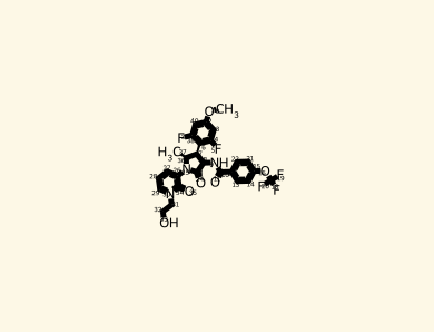 COc1cc(F)c([C@H]2C(NC(=O)c3ccc(OC(F)(F)F)cc3)C(=O)N(c3cccn(CCO)c3=O)[C@H]2C)c(F)c1